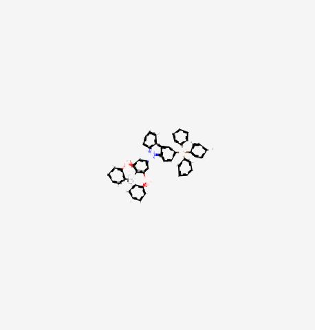 c1ccc(S(c2ccccc2)(c2ccccc2)c2ccc3c(c2)c2ccccc2n3-c2cc3c4c(c2)Oc2ccccc2B4c2ccccc2O3)cc1